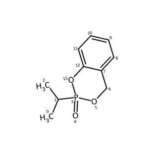 CC(C)P1(=O)OCc2ccccc2O1